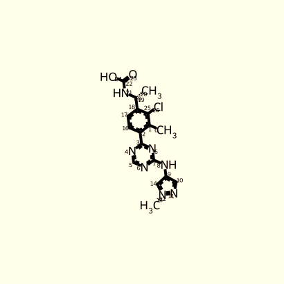 Cc1c(-c2ncnc(Nc3cnn(C)c3)n2)ccc([C@@H](C)NC(=O)O)c1Cl